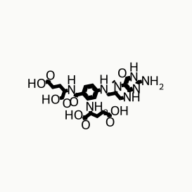 CN1c2c(nc(N)[nH]c2=O)NCC1CNc1ccc(C(=O)NC(CCC(=O)O)C(=O)O)cc1.NC(CCC(=O)O)C(=O)O